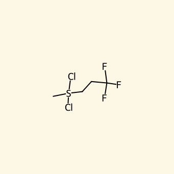 CS(Cl)(Cl)CCC(F)(F)F